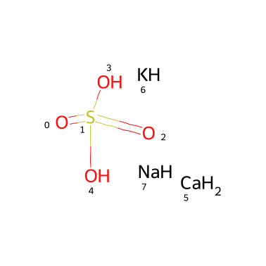 O=S(=O)(O)O.[CaH2].[KH].[NaH]